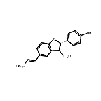 CCOC(=O)/C=C/c1ccc2c(c1)[C@H](C(=O)OCC)[C@@H](c1ccc(O)cc1)O2